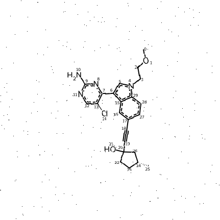 COCCn1cc(-c2nc(N)ncc2Cl)c2cc(C#CC3(O)CC[C@@H](C)C3)ccc21